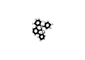 Cc1cccc(-c2ccccc2)c1C(=O)P(c1ccccc1)c1ccccc1